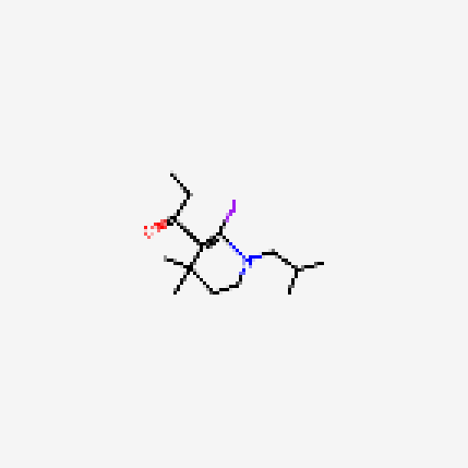 CCC(=O)C1=C(I)N(CC(C)C)CCC1(C)C